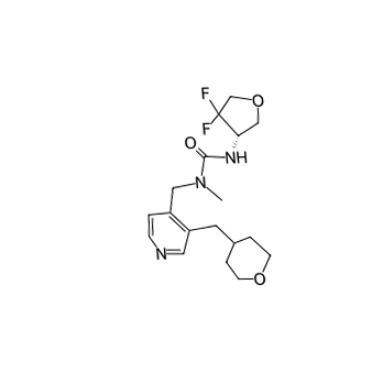 CN(Cc1ccncc1CC1CCOCC1)C(=O)N[C@H]1COCC1(F)F